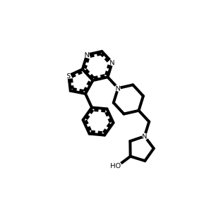 OC1CCN(CC2CCN(c3ncnc4scc(-c5ccccc5)c34)CC2)C1